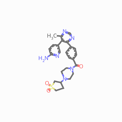 Cc1ncnc(-c2ccc(C(=O)N3CCN(C4CCS(=O)(=O)C4)CC3)cc2)c1-c1ccc(N)nc1